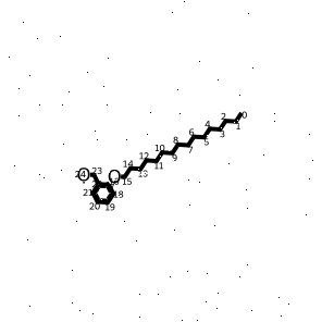 CCCCCCCCCCCCCCCCOc1ccccc1C[O]